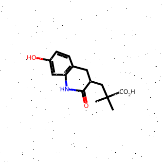 CC(C)(CC1Cc2ccc(O)cc2NC1=O)C(=O)O